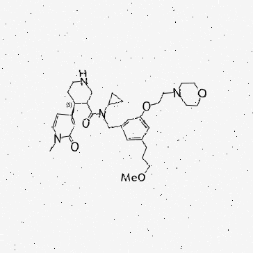 COCCCc1cc(CN(C(=O)C2CNCC[C@@H]2c2ccn(C)c(=O)c2)C2CC2)cc(OCCN2CCOCC2)c1